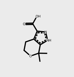 CC1(C)OCCc2c(C(=O)O)n[nH]c21